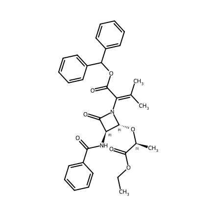 CCOC(=O)[C@H](C)O[C@@H]1[C@@H](NC(=O)c2ccccc2)C(=O)N1C(C(=O)OC(c1ccccc1)c1ccccc1)=C(C)C